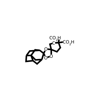 O=C(O)C1(C(=O)O)CCC2(CC1)OOC1(O2)C2CC3CC4CC1CC34C2